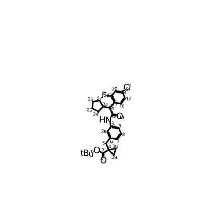 CC(C)(C)OC(=O)C1(Cc2cccc(NC(=O)C(c3ccc(Cl)cc3F)C3CCCC3)c2)CC1